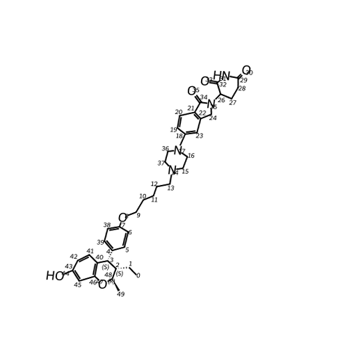 CC[C@H]1[C@@H](c2ccc(OCCCCCN3CCN(c4ccc5c(c4)CN(C4CCC(=O)NC4=O)C5=O)CC3)cc2)c2ccc(O)cc2O[C@@H]1C